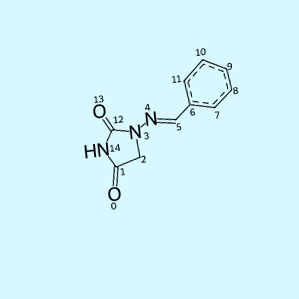 O=C1CN(N=Cc2ccccc2)C(=O)N1